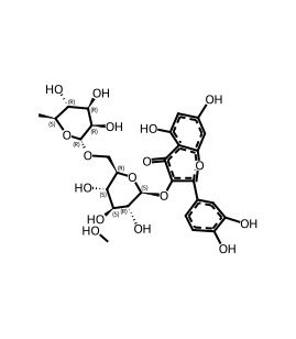 CO.C[C@@H]1O[C@@H](OC[C@H]2O[C@@H](Oc3c(-c4ccc(O)c(O)c4)oc4cc(O)cc(O)c4c3=O)[C@H](O)[C@@H](O)[C@@H]2O)[C@H](O)[C@H](O)[C@H]1O